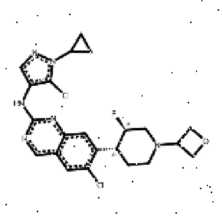 F[C@H]1CN(C2COC2)CC[C@@H]1c1cc2nc(Nc3cnn(C4CC4)c3Cl)ncc2cc1Cl